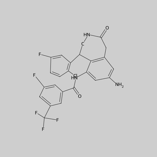 Nc1cc2c(c(NC(=O)c3cc(F)cc(C(F)(F)F)c3)c1)C(c1cc(F)ccc1Cl)CNC(=O)C2